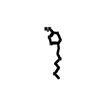 COCCOCCC1=NN=C(N)SC1